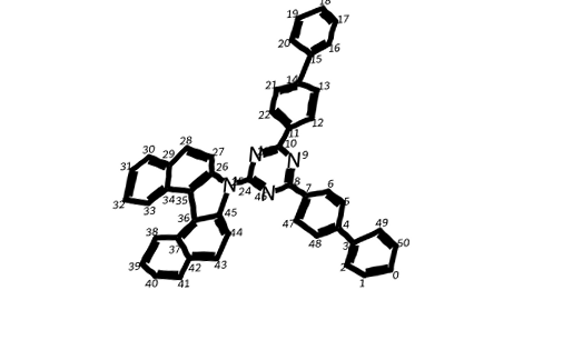 c1ccc(-c2ccc(-c3nc(-c4ccc(-c5ccccc5)cc4)nc(-n4c5ccc6ccccc6c5c5c6ccccc6ccc54)n3)cc2)cc1